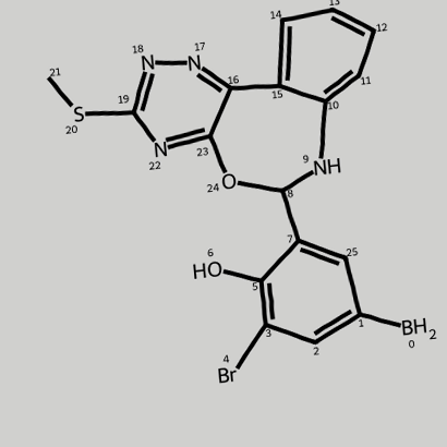 Bc1cc(Br)c(O)c(C2Nc3ccccc3-c3nnc(SC)nc3O2)c1